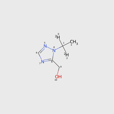 [2H]C([2H])(C)n1ncnc1CO